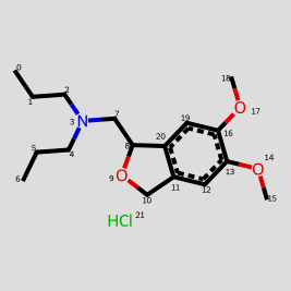 CCCN(CCC)CC1OCc2cc(OC)c(OC)cc21.Cl